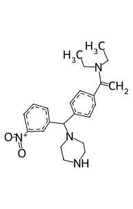 C=C(c1ccc(C(c2cccc([N+](=O)[O-])c2)N2CCNCC2)cc1)N(CC)CC